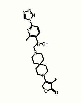 Cc1nc(-n2cnnn2)ccc1[C@@H](O)CN1CCC2(CC1)CCN(C1=C(F)C(=O)OC1)CC2